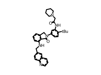 CC(C)(C)c1ccc(N2Cc3cccc(NCc4ccc5ncccc5c4)c3C2=O)cc1NC(=O)CN1CCCCC1